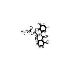 C[C@H](OC(N)=O)c1nc2cccc(Cl)c2c(=O)n1-c1cccc(F)c1